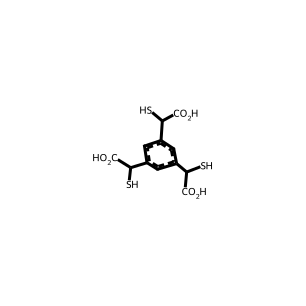 O=C(O)C(S)c1cc(C(S)C(=O)O)cc(C(S)C(=O)O)c1